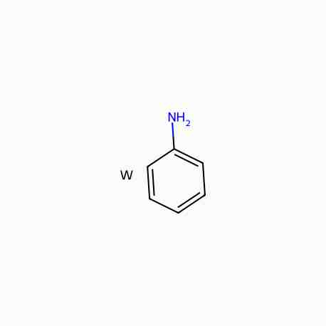 Nc1ccccc1.[W]